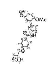 CCCOc1ccc(OC)c(-c2csc(NC(=O)c3ccc(OCCCS(=O)(=O)O)cc3)n2)c1